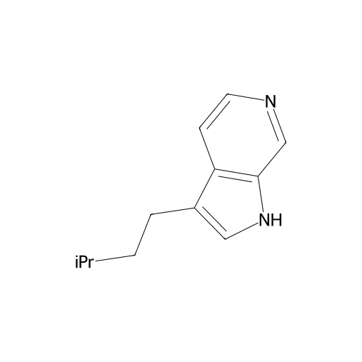 CC(C)CCc1c[nH]c2cnccc12